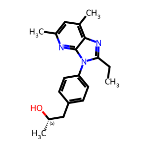 CCc1nc2c(C)cc(C)nc2n1-c1ccc(C[C@H](C)O)cc1